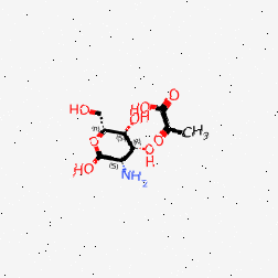 CC(=O)C(=O)O.N[C@@H]1C(O)O[C@H](CO)[C@@H](O)[C@@H]1O